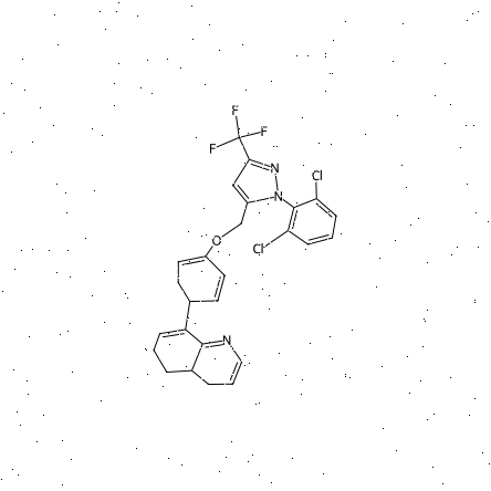 FC(F)(F)c1cc(COC2=CCC(C3=CCCC4CC=CN=C34)C=C2)n(-c2c(Cl)cccc2Cl)n1